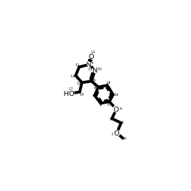 COCCOc1ccc(C2=N[N+](=O)CCC2CO)cc1